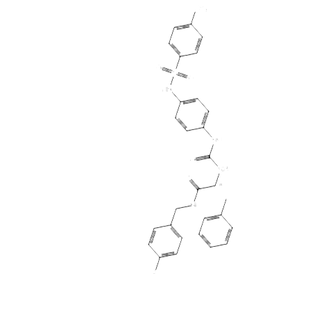 Cc1ccc(S(=O)(=O)Nc2ccc(NC(=O)N[C@H](Cc3ccccc3)C(=O)NCc3ccc(F)cc3)cc2)cc1